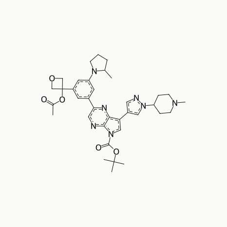 CC(=O)OC1(c2cc(-c3cnc4c(n3)c(-c3cnn(C5CCN(C)CC5)c3)cn4C(=O)OC(C)(C)C)cc(N3CCCC3C)c2)COC1